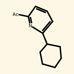 CC(=O)c1cccc(C2CCCCC2)n1